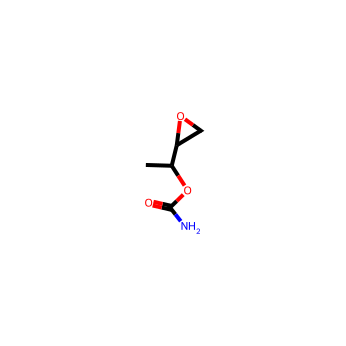 CC(OC(N)=O)C1CO1